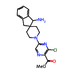 COC(=O)c1ncc(N2CCC3(CC2)Cc2ccccc2C3N)nc1Cl